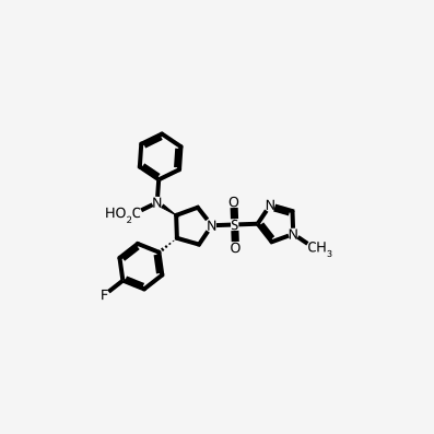 Cn1cnc(S(=O)(=O)N2C[C@H](c3ccc(F)cc3)[C@@H](N(C(=O)O)c3ccccc3)C2)c1